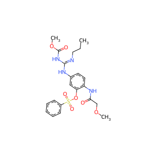 CCCN=C(NC(=O)OC)Nc1ccc(NC(=O)COC)c(OS(=O)(=O)c2ccccc2)c1